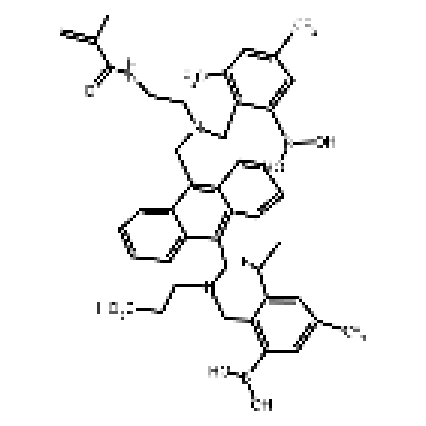 C=C(C)C(=O)NCCN(Cc1c(B(O)O)cc(C(F)(F)F)cc1C(F)(F)F)Cc1c2ccccc2c(CN(CCC(=O)O)Cc2c(B(O)O)cc(C(F)(F)F)cc2C(C)F)c2ccccc12